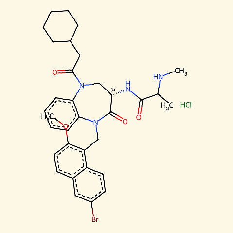 CNC(C)C(=O)N[C@H]1CN(C(=O)CC2CCCCC2)c2ccccc2N(Cc2c(OC)ccc3cc(Br)ccc23)C1=O.Cl